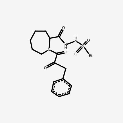 CCS(=O)(=O)NNC(=O)C1CCCCCN1C(=O)C(=O)Cc1ccccc1